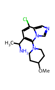 COC1CCN(c2c(C(C)N)cc(Cl)c3cncn23)CC1